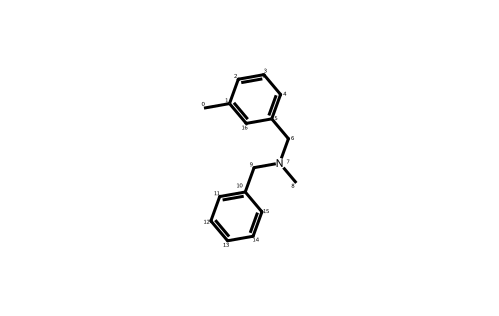 Cc1c[c]cc(CN(C)Cc2ccccc2)c1